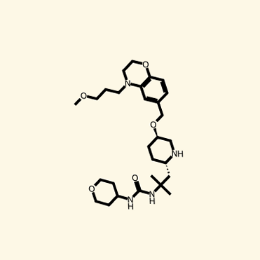 COCCCN1CCOc2ccc(CO[C@@H]3CC[C@@H](CC(C)(C)NC(=O)NC4CCOCC4)NC3)cc21